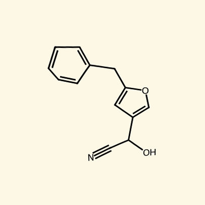 N#CC(O)c1coc(Cc2ccccc2)c1